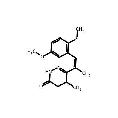 COc1ccc(SC)c(C=C(C)C2=NNC(=O)CC2C)c1